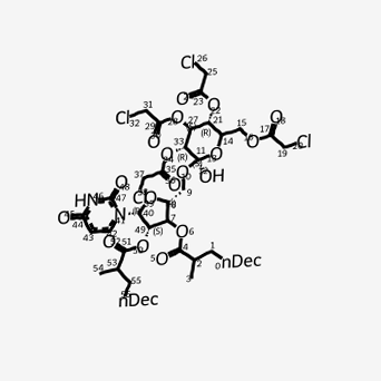 CCCCCCCCCCCC(C)C(=O)OC1[C@@H](CO[C@]2(O)OC(COC(=O)CCl)[C@@H](OC(=O)CCl)[C@H](OC(=O)CCl)[C@H]2OC(=O)CCl)O[C@@H](n2ccc(=O)[nH]c2=O)[C@H]1OC(=O)C(C)CCCCCCCCCCC